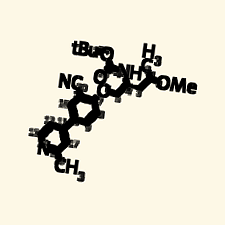 COC(C)C[C@@H](COc1ccc(-c2ccnc(C)c2)cc1C#N)NC(=O)OC(C)(C)C